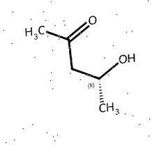 CC(=O)C[C@@H](C)O